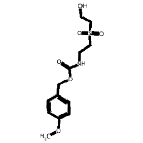 COc1ccc(COC(=O)NCCS(=O)(=O)CCO)cc1